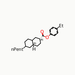 CCCCCC1CCC2C[C@H](C(=O)Oc3ccc(CC)cc3)CC[C@@H]2C1